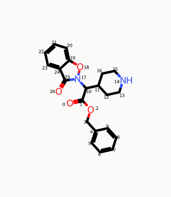 O=C(OCc1ccccc1)C(C1CCNCC1)n1oc2ccccc2c1=O